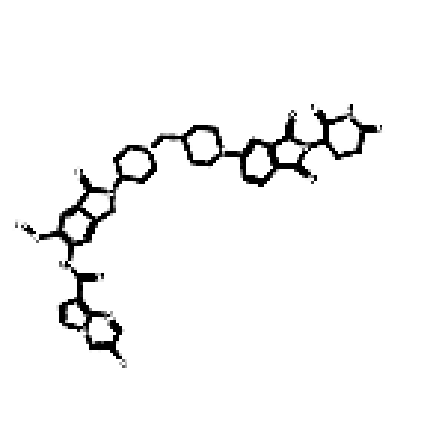 CC(C)Oc1cc2c(cc1NC(=O)c1cnn3cc(Cl)cnc13)CN(C1CCN(CC3CCN(c4ccc5c(c4)C(=O)N(C4CCC(=O)NC4=O)C5=O)CC3)CC1)C2=O